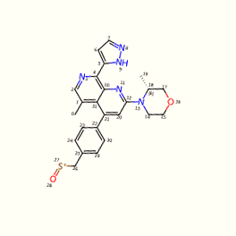 Cc1cnc(-c2ccn[nH]2)c2nc(N3CCOC[C@H]3C)cc(-c3ccc(C[S+]=O)cc3)c12